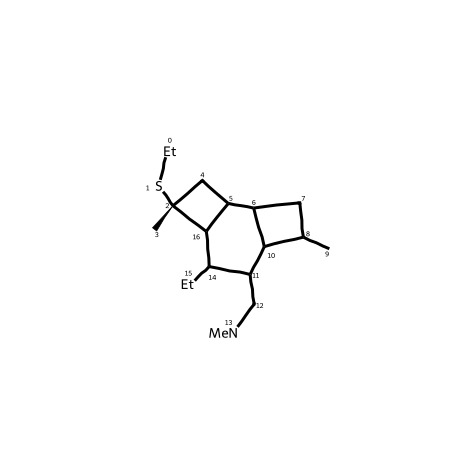 CCS[C@]1(C)CC2C3CC(C)C3C(CNC)C(CC)C21